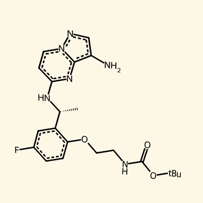 C[C@@H](Nc1ccn2ncc(N)c2n1)c1cc(F)ccc1OCCNC(=O)OC(C)(C)C